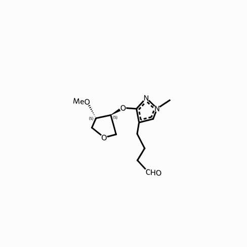 CO[C@H]1COC[C@@H]1Oc1nn(C)cc1CCCC=O